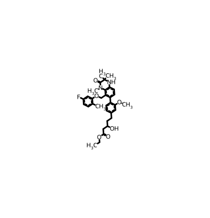 CCOC(=O)CC(O)CCc1ccc(-c2ccc3c(c2COc2cc(F)ccc2C)N(C)C(=O)C(C)(C)N3)c(OC)c1